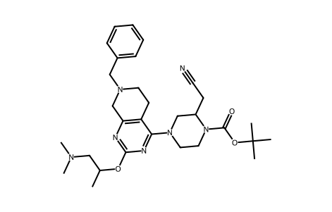 CC(CN(C)C)Oc1nc2c(c(N3CCN(C(=O)OC(C)(C)C)C(CC#N)C3)n1)CCN(Cc1ccccc1)C2